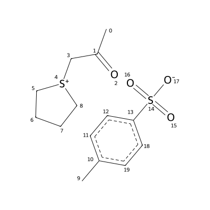 CC(=O)C[S+]1CCCC1.Cc1ccc(S(=O)(=O)[O-])cc1